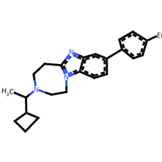 CCc1ccc(-c2ccc3c(c2)nc2n3CCN(C(C)C3CCC3)CC2)cc1